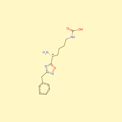 N[C@H](CCCCNC(=O)O)c1nc(Cc2ccccc2)no1